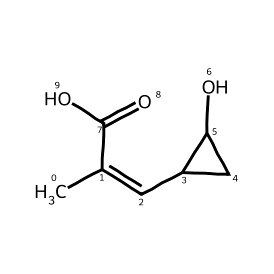 CC(=CC1CC1O)C(=O)O